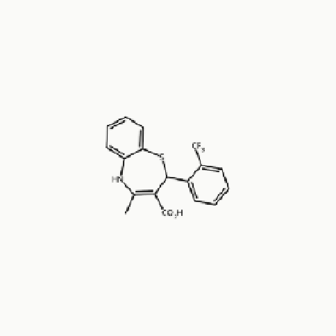 CC1=C(C(=O)O)C(c2ccccc2C(F)(F)F)Sc2ccccc2N1